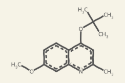 COc1ccc2c(OC(C)(C)C)cc(C)nc2c1